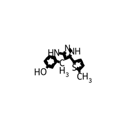 Cc1ccc(-c2cc(Nc3ccc(O)cc3C)n[nH]2)s1